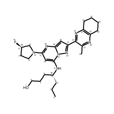 CCC[C@H](CCCO)Nc1cc(N2CC[C@@H](F)C2)nc2cc(-c3nc4c(nc3C)CCCC4)nn12